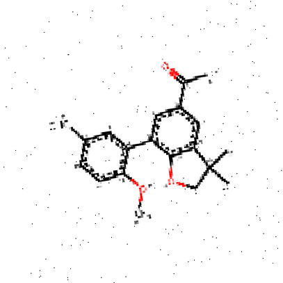 CC(C)C(=O)c1cc(-c2cc(C=O)ccc2OC(F)(F)F)c2c(c1)C(C)(C)CO2